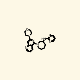 c1cnc(NC2CCCCN(c3nc(N4CCOCC4)cc4ncccc34)C2)nc1